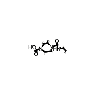 CCNC(=O)N1CCN(C(=O)O)CC1